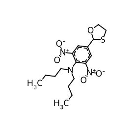 CCCCN(CCCC)c1c([N+](=O)[O-])cc(C2OCCS2)cc1[N+](=O)[O-]